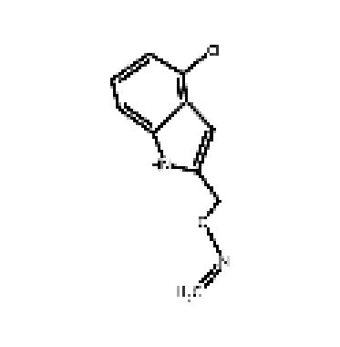 C=NOCc1cc2c(Cl)cccc2[nH]1